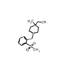 CC1(CC#N)CCN(Cc2ccccc2S(C)(=O)=O)CC1